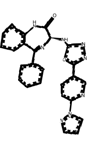 O=C1Nc2ccccc2C(c2ccccc2)=N[C@@H]1Nc1nnc(-c2ccc(-n3cccn3)nc2)o1